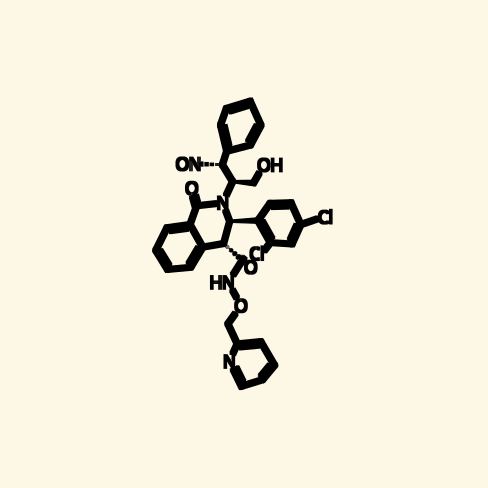 O=N[C@H](c1ccccc1)[C@@H](CO)N1C(=O)c2ccccc2[C@@H](C(=O)NOCc2ccccn2)[C@@H]1c1ccc(Cl)cc1Cl